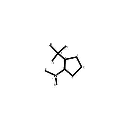 CN(C)C1CCCC1C(C)(C)C